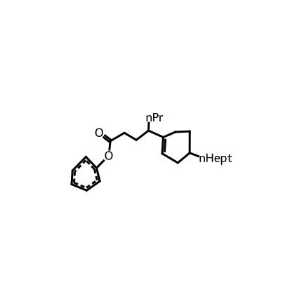 CCCCCCCC1CC=C(C(CCC)CCC(=O)Oc2ccccc2)CC1